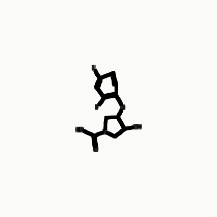 O=C(O)N1CC(O)C(Oc2ccc(F)cc2F)C1